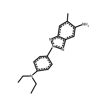 CCN(CC)c1ccc(-n2nc3cc(C)c(N)cc3n2)cc1